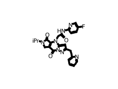 CC(C)N1Cc2c(n(CC(=O)Nc3ccc(F)cn3)c3cc(Cc4ccccn4)nn3c2=O)C1=O